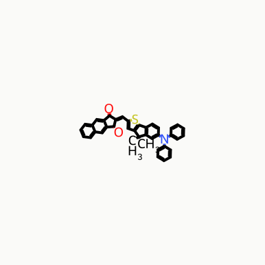 CC1(C)c2cc(N(c3ccccc3)c3ccccc3)ccc2-c2sc(C=C3C(=O)c4cc5ccccc5cc4C3=O)cc21